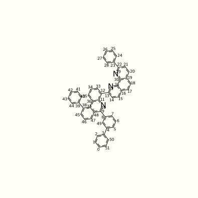 c1ccc(-c2cccc(-c3nc4c(-c5ccc6ccc7ccc(-c8ccccc8)nc7c6n5)cccc4c4c(-c5ccccc5)cccc34)c2)cc1